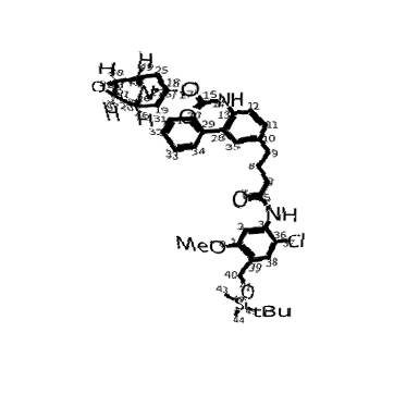 COc1cc(NC(=O)CCCc2ccc(NC(=O)O[C@@H]3C[C@@H]4[C@H]5O[C@H]5[C@H](C3)N4C)c(-c3ccccc3)c2)c(Cl)cc1CO[Si](C)(C)C(C)(C)C